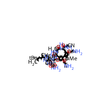 C=C/C(=C\C=C(/C)c1nc(C)c(C(=O)N[C@@H](CNS(N)(=O)=O)C(=O)N(C)[C@@H]2C(=O)N[C@@H](C)C(=O)N[C@H](C(=O)NCC#N)Cc3cc(c(OC)cc3OCCN)-c3cc2ccc3OCCN)c(C)n1)C(C)(C)C